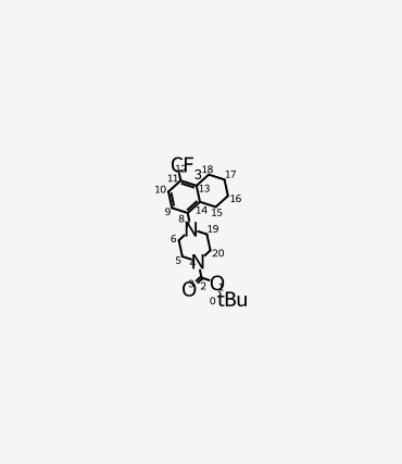 CC(C)(C)OC(=O)N1CCN(c2ccc(C(F)(F)F)c3c2CCCC3)CC1